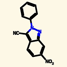 N#Cc1c2ccc([N+](=O)[O-])cc2nn1-c1ccccc1